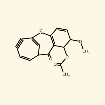 COC1C=CC2=C(C(=O)C3C=CC#CC(=C3)N2)C1OC(C)=O